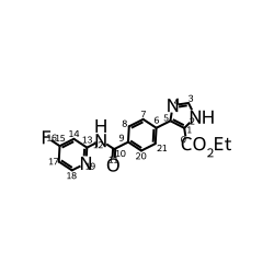 CCOC(=O)c1[nH]cnc1-c1ccc(C(=O)Nc2cc(F)ccn2)cc1